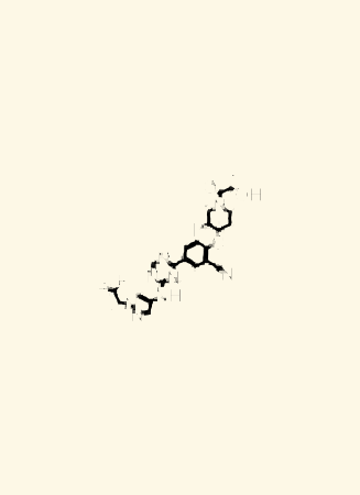 C[C@H](O)C(=O)N1CC[C@H](Oc2ccc(-c3ncnc(Nc4cnn(CC(F)F)c4)n3)cc2C#N)[C@@H](F)C1